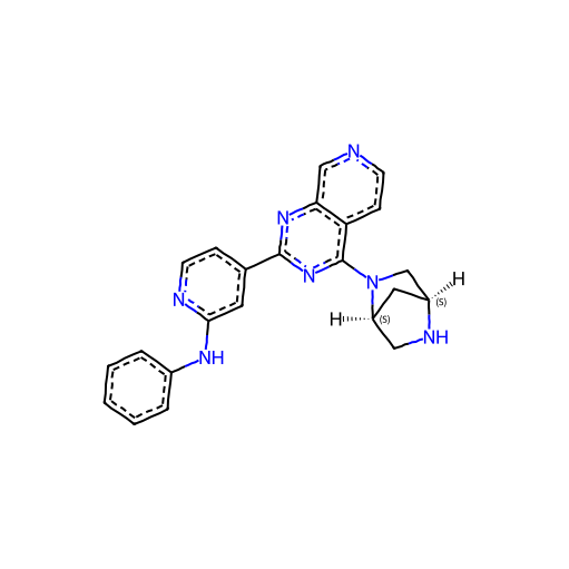 c1ccc(Nc2cc(-c3nc(N4C[C@@H]5C[C@H]4CN5)c4ccncc4n3)ccn2)cc1